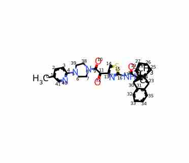 Cc1ccc(N2CCN(C(=O)C(=O)c3csc(NC(=O)C4(C)CC5c6ccccc6C4c4ccccc45)n3)CC2)nc1